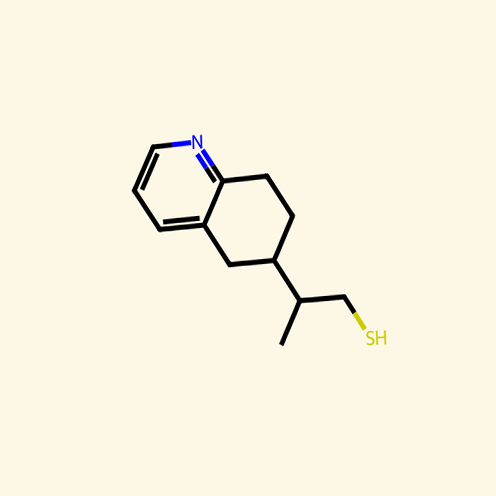 CC(CS)C1CCc2ncccc2C1